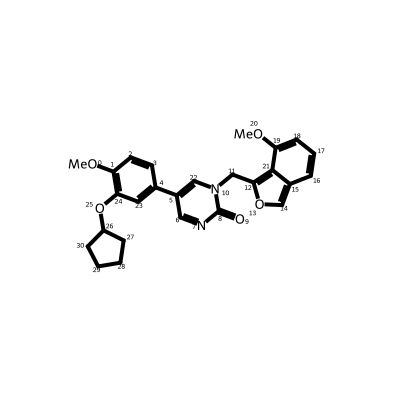 COc1ccc(-c2cnc(=O)n(Cc3occ4cccc(OC)c34)c2)cc1OC1CCCC1